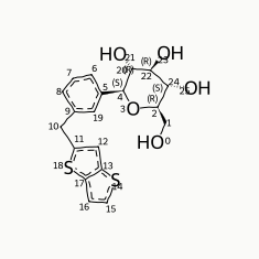 OC[C@H]1O[C@@H](c2cccc(Cc3cc4sccc4s3)c2)[C@H](O)[C@@H](O)[C@@H]1O